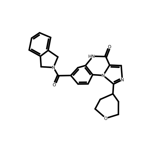 O=C(c1ccc2c(c1)[nH]c(=O)c1cnc(C3CCOCC3)n12)N1Cc2ccccc2C1